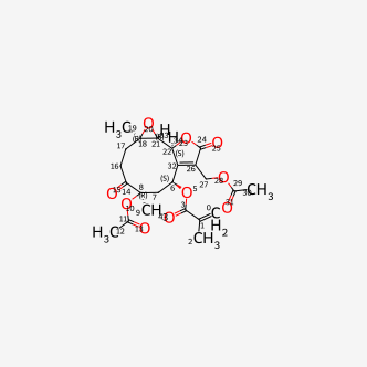 C=C(C)C(=O)O[C@H]1C[C@@](C)(OC(C)=O)C(=O)CC[C@@]2(C)O[C@@H]2[C@H]2OC(=O)C(COC(C)=O)=C12